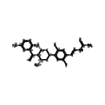 C[C@@H]1CN(c2cc(F)c(/C=N/NC(N)=S)cc2F)C[C@H](C)N1C(=O)c1cccc(C(F)(F)F)c1